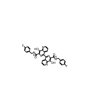 O=C(NCc1ccc(F)cc1)c1nc(-c2nc(C(=O)NCc3ccc(F)cc3)c(O)c3ncccc23)c2cccnc2c1O